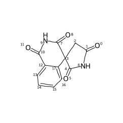 O=C1CC2(C(=O)N1)C(=O)NC(=O)c1ccccc12